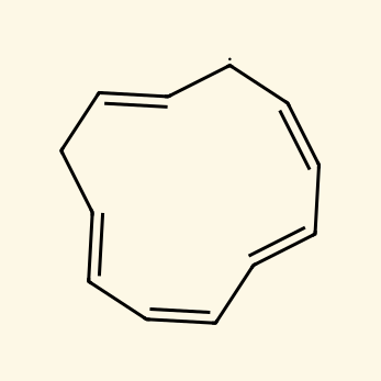 [CH]1\C=C/C=C/C=C\C=C\C/C=C/1